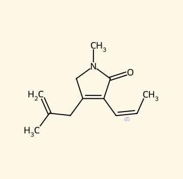 C=C(C)CC1=C(/C=C\C)C(=O)N(C)C1